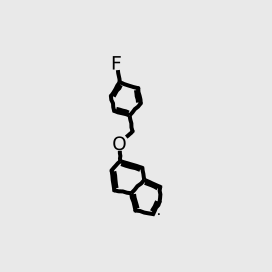 Fc1ccc(COc2ccc3c[c]ccc3c2)cc1